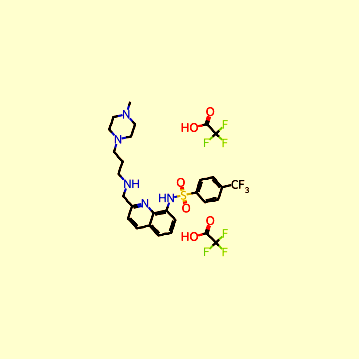 CN1CCN(CCCNCc2ccc3cccc(NS(=O)(=O)c4ccc(C(F)(F)F)cc4)c3n2)CC1.O=C(O)C(F)(F)F.O=C(O)C(F)(F)F